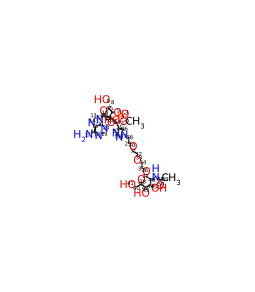 COP(=O)(O)OC1[C@@H](CO)O[C@@H](n2cnc3c(N)ncnc32)[C@H]1OCc1cn(CCOCCOCCOC2OC(CO)C(O)C(O)C2NC(C)=O)nn1